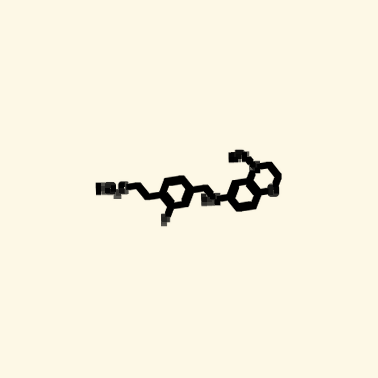 CCCN1CCOc2ccc(NCc3ccc(CCC(=O)O)c(F)c3)cc21